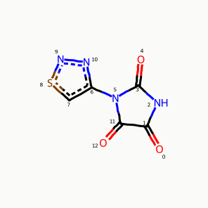 O=C1NC(=O)N(c2csnn2)C1=O